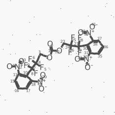 O=C(OCC(F)(F)C(F)(F)c1c([N+](=O)[O-])cccc1[N+](=O)[O-])OCC(F)(F)C(F)(F)c1c([N+](=O)[O-])cccc1[N+](=O)[O-]